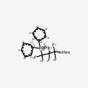 CCCCCCC(F)(F)C(F)(F)C(F)(F)[PH](CCCC)(c1ccccc1)c1ccccc1